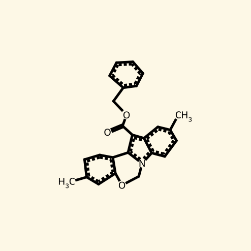 Cc1ccc2c(c1)OCn1c-2c(C(=O)OCc2ccccc2)c2cc(C)ccc21